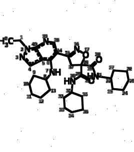 CCn1ncc2c(NC3CCCCC3)c(C3=NOC(C(=O)NC4CCCCC4)(C(=O)NC4CCCCC4)C3)cnc21